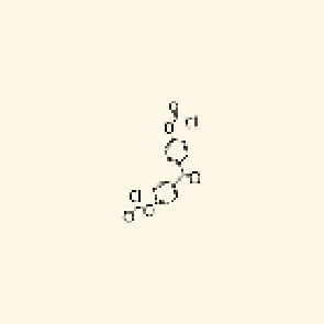 O=C(Cl)Oc1ccc(C(=O)c2ccc(OC(=O)Cl)cc2)cc1